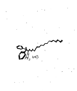 CCCCCCCCCCCCCCCCCC(N)C(C)(c1ccccc1)c1ccccc1.Cl